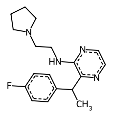 CC(c1ccc(F)cc1)c1nccnc1NCCN1CCCC1